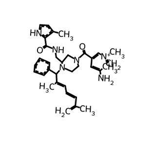 C=C(C)C=C/C=C(\C)C(c1ccccc1)N1CCN(C(=O)C(/C=C(\C)N)=C/[N+](=C)C)CC1CNC(=O)c1[nH]ccc1C